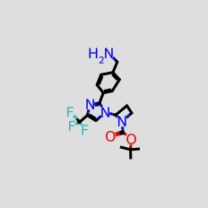 CC(C)(C)OC(=O)N1CCC1n1cc(C(F)(F)F)nc1-c1ccc(CN)cc1